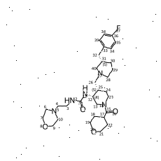 O=C(NCCN1CCOCC1)N[C@H]1CN(C(=O)C2CCOCC2)CC[C@H]1CN1CCC[C@@H](Cc2ccc(F)cc2)C1